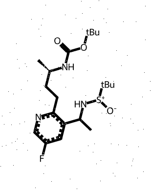 CC(N[S+]([O-])C(C)(C)C)c1cc(F)cnc1CC[C@@H](C)NC(=O)OC(C)(C)C